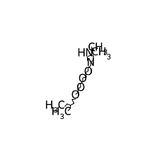 CCCC(CC)CCCOCCOCCOCCOCCN1CCC(NC(C)C)CC1